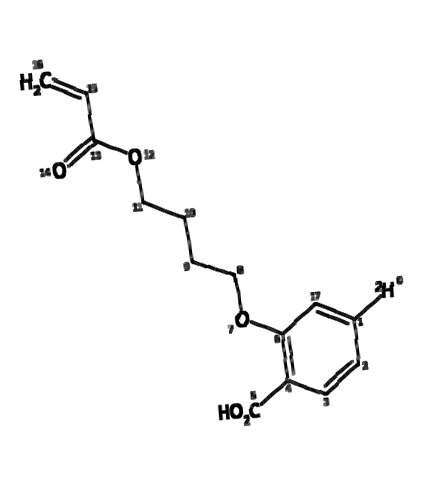 [2H]c1ccc(C(=O)O)c(OCCCCOC(=O)C=C)c1